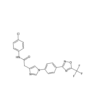 O=C(Cc1cn(-c2ccc(-c3noc(C(F)(F)F)n3)cc2)cn1)Nc1ccc(Cl)cc1